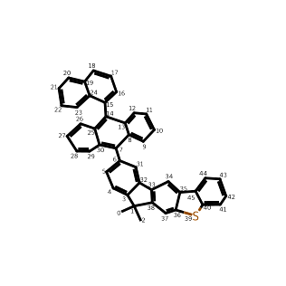 CC1(C)c2ccc(-c3c4ccccc4c(-c4cccc5ccccc45)c4ccccc34)cc2-c2cc3c(cc21)sc1ccccc13